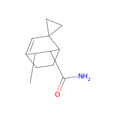 CC1C2=CC3(CC3)C(CC2)C1C(N)=O